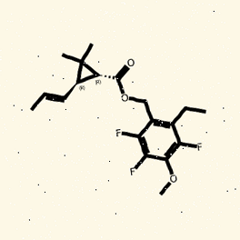 CC=C[C@@H]1[C@@H](C(=O)OCc2c(F)c(F)c(OC)c(F)c2CC)C1(C)C